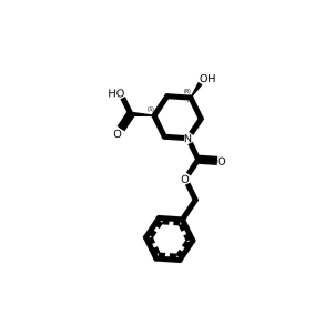 O=C(O)[C@H]1C[C@@H](O)CN(C(=O)OCc2ccccc2)C1